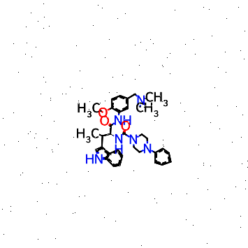 COc1ccc(CN(C)C)cc1NC(=O)[C@H](NC(=O)N1CCN(c2ccccc2)CC1)[C@H](C)c1c[nH]c2ccccc12